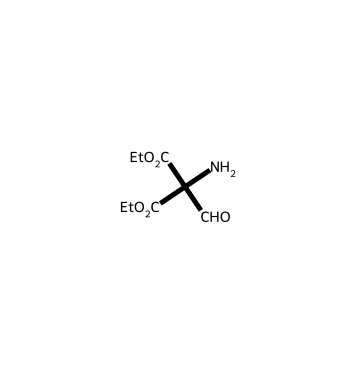 CCOC(=O)C(N)(C=O)C(=O)OCC